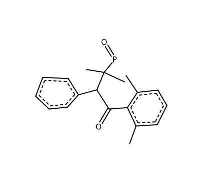 Cc1cccc(C)c1C(=O)C(c1ccccc1)C(C)(C)P=O